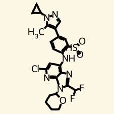 Cc1c(-c2ccc(Nc3cc(Cl)nc4c3nc(C(F)F)n4C3CCCCO3)c([SH](=O)=O)c2)cnn1C1CC1